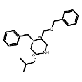 CC(C)C[C@@H]1CN(Cc2ccccc2)[C@@H](COCc2ccccc2)CN1